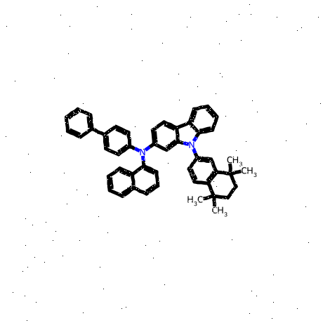 CC1(C)CCC(C)(C)c2cc(-n3c4ccccc4c4ccc(N(c5ccc(-c6ccccc6)cc5)c5cccc6ccccc56)cc43)ccc21